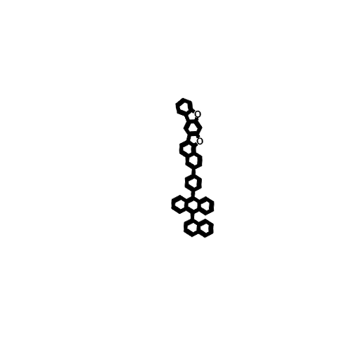 c1ccc2c(-c3c4ccccc4c(-c4ccc(-c5ccc6c(ccc7c8cc9c(cc8oc67)oc6ccccc69)c5)cc4)c4ccccc34)cccc2c1